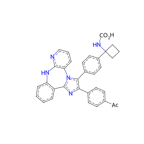 CC(=O)c1ccc(-c2nc3n(c2-c2ccc(C4(NC(=O)O)CCC4)cc2)-c2cccnc2Nc2ccccc2-3)cc1